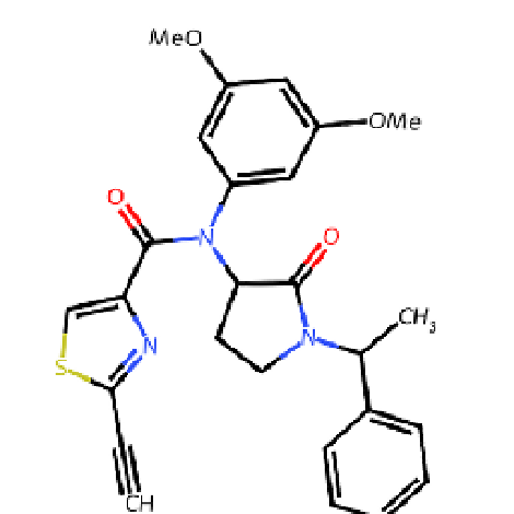 C#Cc1nc(C(=O)N(c2cc(OC)cc(OC)c2)C2CCN(C(C)c3ccccc3)C2=O)cs1